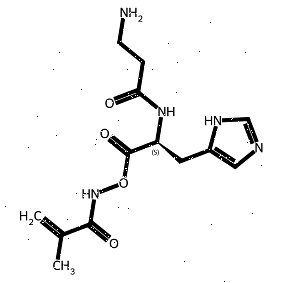 C=C(C)C(=O)NOC(=O)[C@H](Cc1cnc[nH]1)NC(=O)CCN